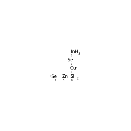 S.[Cu].[InH3].[Se].[Se].[Zn]